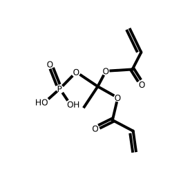 C=CC(=O)OC(C)(OC(=O)C=C)OP(=O)(O)O